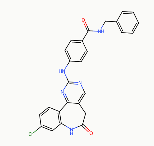 O=C1Cc2cnc(Nc3ccc(C(=O)NCc4ccccc4)cc3)nc2-c2ccc(Cl)cc2N1